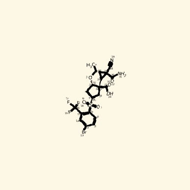 CCO[C@H]1C[C@H](S(=O)(=O)c2ccc(Br)cc2C(F)(F)F)C[C@]1(C(=O)O)C1CC1(C#N)C(N)=O